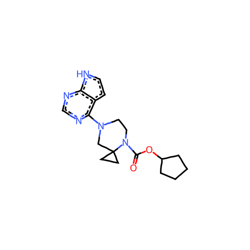 O=C(OC1CCCC1)N1CCN(c2ncnc3[nH]ccc23)CC12CC2